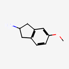 COc1ccc2c(c1)CC(N)C2